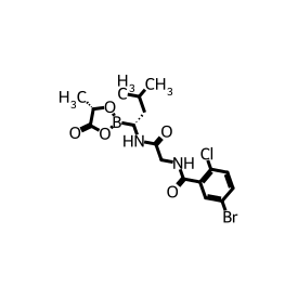 CC(C)C[C@H](NC(=O)CNC(=O)c1cc(Br)ccc1Cl)B1OC(=O)[C@H](C)O1